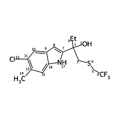 CCC(O)(CSCC(F)(F)F)c1cc2cc(Cl)c(C)cc2[nH]1